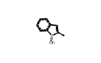 CC1=Cc2ccccc2[SH]1O